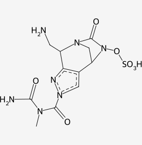 CN(C(N)=O)C(=O)n1cc2c(n1)C(CN)N1CC2N(OS(=O)(=O)O)C1=O